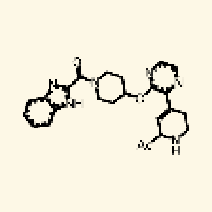 CC(=O)C1C=C(c2nccnc2OC2CCN(C(=O)c3nc4ccccc4[nH]3)CC2)CCN1